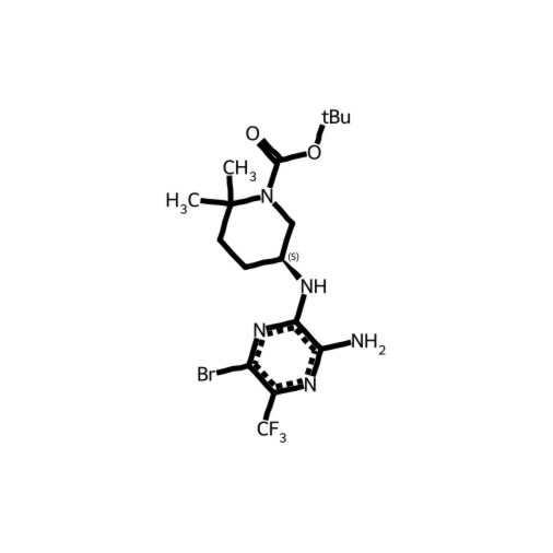 CC(C)(C)OC(=O)N1C[C@@H](Nc2nc(Br)c(C(F)(F)F)nc2N)CCC1(C)C